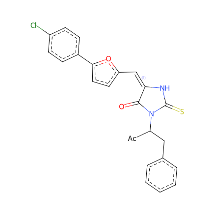 CC(=O)C(Cc1ccccc1)N1C(=O)/C(=C\c2ccc(-c3ccc(Cl)cc3)o2)NC1=S